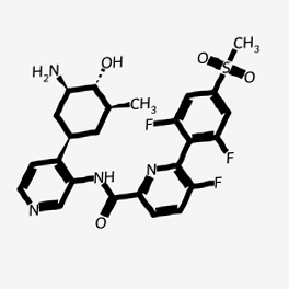 C[C@H]1C[C@@H](c2ccncc2NC(=O)c2ccc(F)c(-c3c(F)cc(S(C)(=O)=O)cc3F)n2)C[C@@H](N)[C@@H]1O